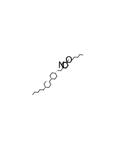 CCCCCOc1ccc(CC[C@H]2CC[C@H]([C@H]3CC[C@H](CCCCC)CC3)CC2)nc1